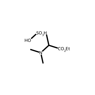 CCOC(=O)C(C)N(C)C.O=S(=O)(O)O